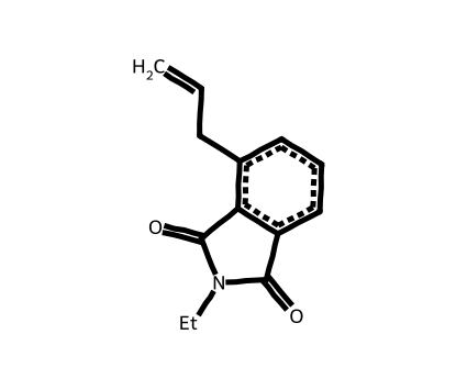 C=CCc1cccc2c1C(=O)N(CC)C2=O